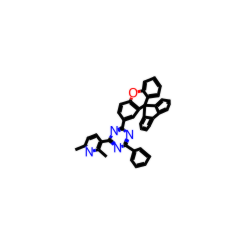 Cc1ccc(-c2nc(-c3ccccc3)nc(-c3ccc4c(c3)C3(c5ccccc5O4)c4ccccc4-c4ccccc43)n2)c(C)n1